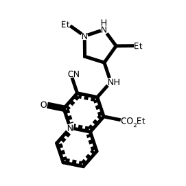 CCOC(=O)c1c(NC2CN(CC)NC2CC)c(C#N)c(=O)n2ccccc12